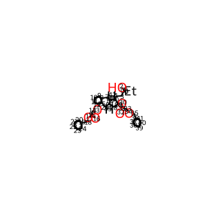 CC[C@H](O)CC[C@@H]1[C@H]2Cc3cccc(OCC(=O)OCc4ccccc4)c3C[C@H]2C[C@H]1OC(=O)COCc1ccccc1